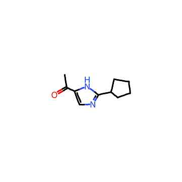 CC(=O)c1cnc(C2CCCC2)[nH]1